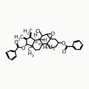 C=C1C(=C)[C@H]2[C@@H]3C(Cl)C4OC45CC(OC(=O)c4ccccc4)CC[C@]5(C)[C@@H]3CC[C@]2(C)C1OC(=O)c1ccccc1